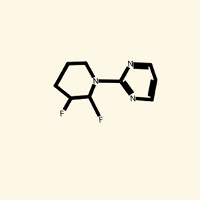 FC1CCCN(c2ncccn2)C1F